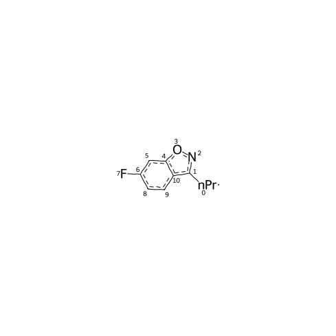 CC[CH]c1noc2cc(F)ccc12